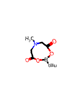 CN1CC(=O)OB(C(C)(C)C)OC(=O)C1